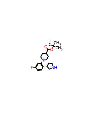 CC(C)(C)OC(=O)C1CCN(c2cc(F)ccc2[C@@H]2CCNC2)CC1